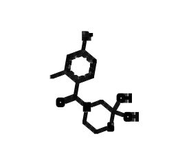 Cc1cc(Br)ccc1C(=O)N1CCSC(O)(O)C1